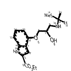 CCOC(=O)c1cc2c(OCC(O)CNC(C)(CC)SC)cccc2[nH]1